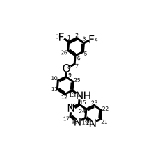 Fc1cc(F)cc(COc2cccc(Nc3ncnc4ncccc34)c2)c1